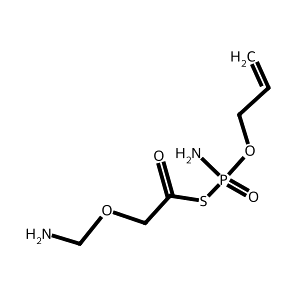 C=CCOP(N)(=O)SC(=O)COCN